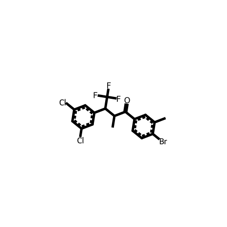 Cc1cc(C(=O)C(C)C(c2cc(Cl)cc(Cl)c2)C(F)(F)F)ccc1Br